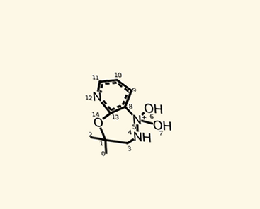 CC1(C)CN[N+](O)(O)c2cccnc2O1